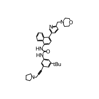 CC(C)(C)c1cc(C#CCN2CCCC2)cc(NC(=O)Nc2ccc(-c3ccc(CN4CCOCC4)nc3)c3ccccc23)c1